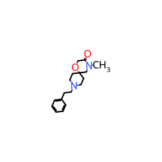 CN1CC2(CCN(CCc3ccccc3)CC2)OCC1=O